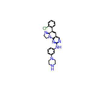 Clc1ccccc1C1=Cc2cnc(Nc3cccc(N4CCNCC4)c3)nc2N2CCN=C12